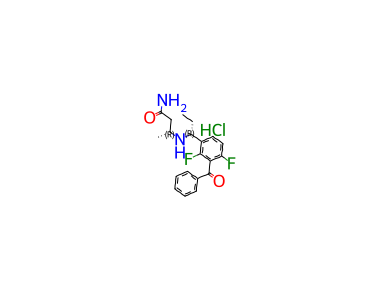 CC[C@@H](N[C@H](C)CC(N)=O)c1ccc(F)c(C(=O)c2ccccc2)c1F.Cl